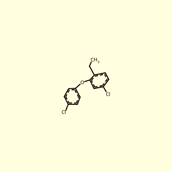 CCc1ccc(Cl)cc1Oc1ccc(Cl)cc1